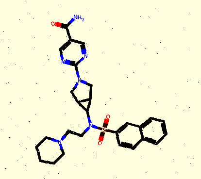 NC(=O)c1cnc(N2CC3C(C2)C3N(CCN2CCCCC2)S(=O)(=O)c2ccc3ccccc3c2)nc1